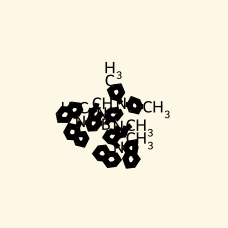 Cc1ccc(N(c2ccc(C)cc2)c2cc3c4c(c2)-n2c(C)c(C)c5c(N(c6cccc7ccccc67)c6cccc7ccccc67)ccc(c52)B4c2ccc(N(c4cccc5ccccc45)c4cccc5ccccc45)c4c(C)c(C)n-3c24)cc1